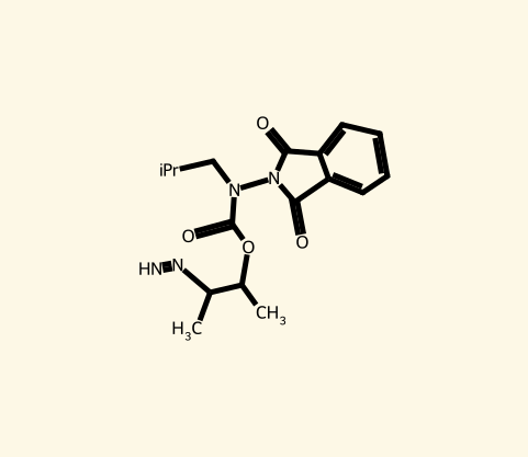 CC(C)CN(C(=O)OC(C)C(C)N=N)N1C(=O)c2ccccc2C1=O